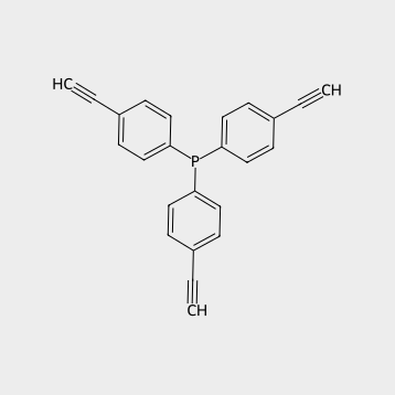 C#Cc1ccc(P(c2ccc(C#C)cc2)c2ccc(C#C)cc2)cc1